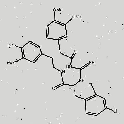 CCCc1ccc(CCNC(=O)[C@@H](Cc2ccc(Cl)cc2Cl)NC(=N)NC(=O)Cc2ccc(OC)c(OC)c2)cc1OC